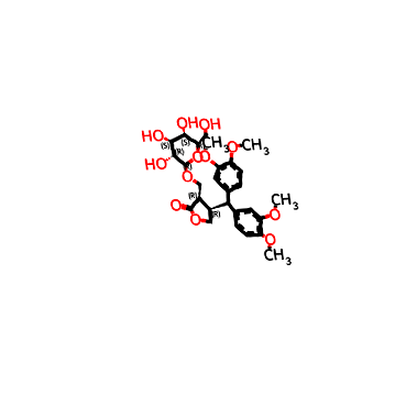 COc1ccc(C(c2ccc(OC)c(OC)c2)[C@H]2COC(=O)[C@H]2CO[C@@H]2O[C@H](CO)[C@@H](O)[C@H](O)[C@H]2O)cc1OC